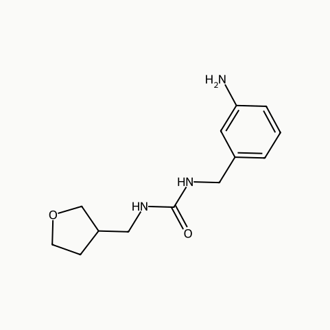 Nc1cccc(CNC(=O)NCC2CCOC2)c1